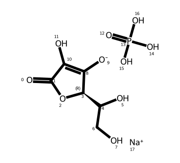 O=C1O[C@H](C(O)CO)C([O-])=C1O.O=P(O)(O)O.[Na+]